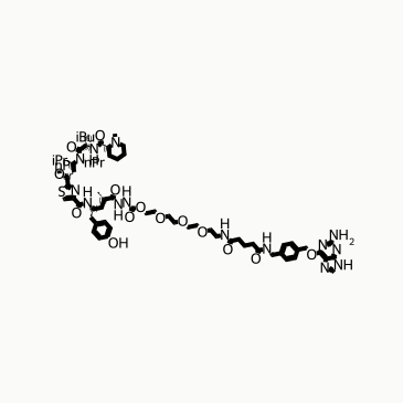 CCCO[C@H](C[C@H](C(C)C)N(CCC)C(=O)[C@@H](NC(=O)[C@H]1CCCCN1C)[C@@H](C)CC)c1nc(C(=O)N[C@@H](Cc2ccc(O)cc2)C[C@H](C)C(=O)NNC(=O)OCCOCCOCCOCCNC(=O)CCCC(=O)NCc2ccc(COc3nc(N)nc4[nH]cnc34)cc2)cs1